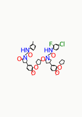 COc1ccc(C2CC(=O)N(CC(=O)Nc3ccc(Cl)cc3F)C2)cc1OC1CCCC1.COc1ccc(C2CC(=O)N(CC(=O)Nc3cccc(C)c3)C2)cc1OC1CCCC1